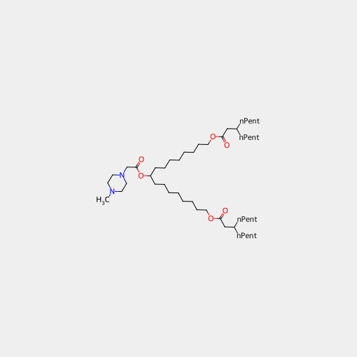 CCCCCC(CCCCC)CC(=O)OCCCCCCCCC(CCCCCCCCOC(=O)CC(CCCCC)CCCCC)OC(=O)CN1CCN(C)CC1